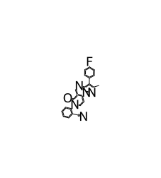 Cc1nn2c(ncc3c(=O)n(-c4ccccc4C#N)ccc32)c1-c1ccc(F)cc1